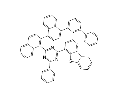 c1ccc(-c2cccc(-c3ccc(-c4ccc5ccccc5c4-c4nc(-c5ccccc5)nc(-c5cccc6c5sc5ccccc56)n4)c4ccccc34)c2)cc1